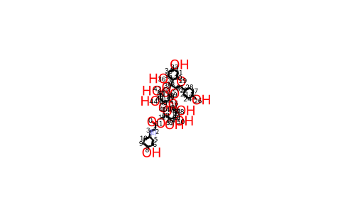 O=C(/C=C/c1ccc(O)cc1)OC[C@H]1O[C@@H](OC2[C@H](Oc3c(-c4ccc(O)cc4)oc4cc(O)cc(O)c4c3=O)O[C@@H](O)[C@H](O)[C@H]2O)[C@H](O)[C@@H](O)[C@@H]1O